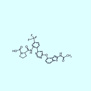 CC(=O)Nc1nc2c(Oc3cc(-c4ccc(C(F)(F)F)cc4NC(=O)C4CCCN4C(=O)O)ncn3)cccc2s1